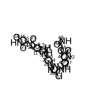 [2H]C([2H])([2H])N(Cc1ccc2c(c1)CN(C1CCC(=O)NC1=O)C2=O)C1CCN(c2ncc(Cl)c(Nc3ccc4c(c3)cc(OCC(=O)NC)c(=O)n4C)n2)CC1